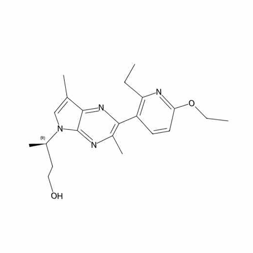 CCOc1ccc(-c2nc3c(C)cn([C@H](C)CCO)c3nc2C)c(CC)n1